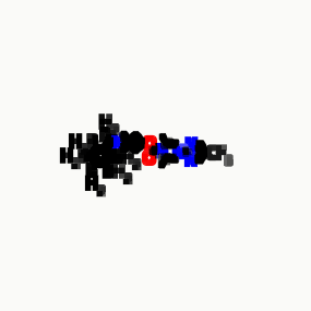 Bc1c(B)c(B)c(C(B)N2CC3(CC(OC(=O)N4[C@H](C)CN(c5ncc(C(F)(F)F)cn5)C[C@@H]4C)C3)C2)c(B)c1B